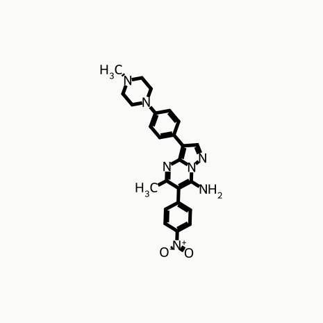 Cc1nc2c(-c3ccc(N4CCN(C)CC4)cc3)cnn2c(N)c1-c1ccc([N+](=O)[O-])cc1